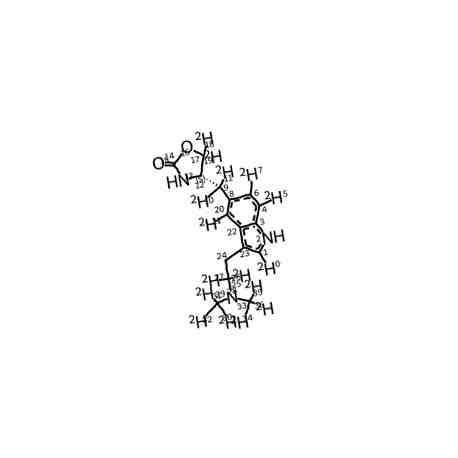 [2H]c1[nH]c2c([2H])c([2H])c(C([2H])([2H])[C@@H]3NC(=O)OC3([2H])[2H])c([2H])c2c1CC([2H])([2H])N(C([2H])([2H])[2H])C([2H])([2H])[2H]